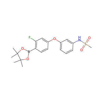 CC1(C)OB(c2ccc(Oc3cccc(NS(C)(=O)=O)c3)cc2F)OC1(C)C